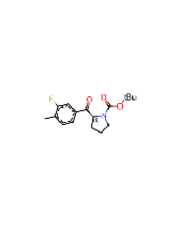 Cc1ccc(C(=O)[C@@H]2CCCN2C(=O)OC(C)(C)C)cc1F